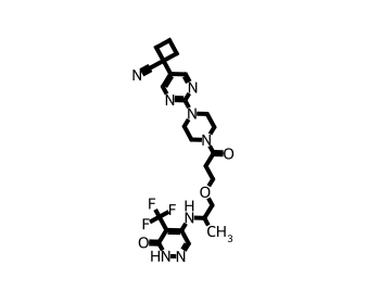 CC(COCCC(=O)N1CCN(c2ncc(C3(C#N)CCC3)cn2)CC1)Nc1cn[nH]c(=O)c1C(F)(F)F